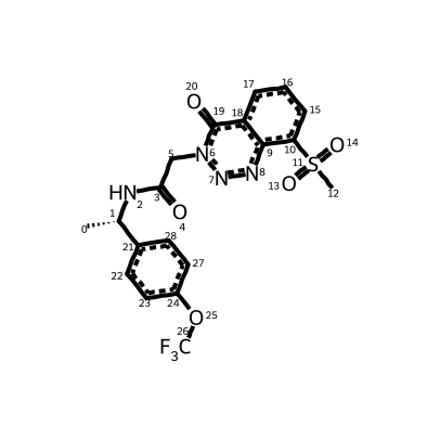 C[C@H](NC(=O)Cn1nnc2c(S(C)(=O)=O)cccc2c1=O)c1ccc(OC(F)(F)F)cc1